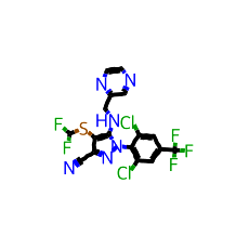 N#Cc1nn(-c2c(Cl)cc(C(F)(F)F)cc2Cl)c(NCc2cnccn2)c1SC(F)F